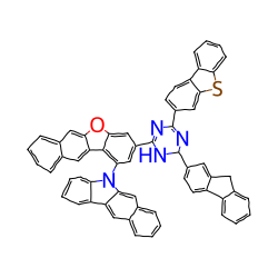 c1ccc2c(c1)Cc1cc(C3N=C(c4ccc5c(c4)sc4ccccc45)N=C(c4cc(-n5c6ccccc6c6cc7ccccc7cc65)c5c(c4)oc4cc6ccccc6cc45)N3)ccc1-2